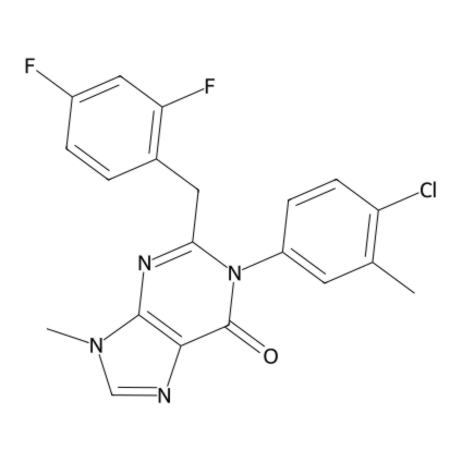 Cc1cc(-n2c(Cc3ccc(F)cc3F)nc3c(ncn3C)c2=O)ccc1Cl